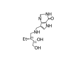 CC[C@@H](CNCc1c[nH]c2c(=O)[nH]cnc12)[C@H](O)CO